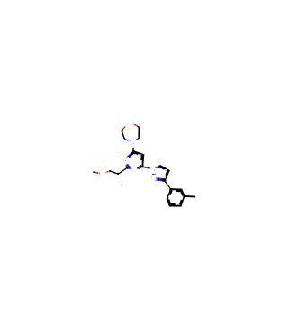 COC[C@@H](O)c1nc(N2CCOCC2)cc(-n2ccc(-c3cccc(C)c3)n2)n1